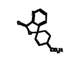 O=C1OC2(CCC(C(=O)O)CC2)c2cccnc21